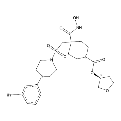 CC(C)c1cccc(N2CCN(S(=O)(=O)CC3(C(=O)NO)CCN(C(=O)O[C@H]4CCOC4)CC3)CC2)c1